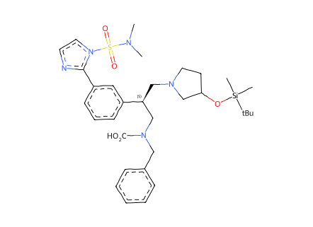 CN(C)S(=O)(=O)n1ccnc1-c1cccc([C@@H](CN2CCC(O[Si](C)(C)C(C)(C)C)C2)CN(Cc2ccccc2)C(=O)O)c1